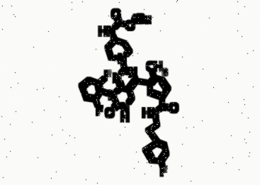 Cc1ccc(C(=O)NCCc2ccc(F)cc2)cc1-c1nc(N2CCC(NC(=O)OC(C)(C)C)CC2)nc2c1CNC(=O)N2c1c(F)cccc1F